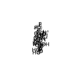 CC1=NO[C@@]2(CC[C@H](C)N3C[C@H]2n2cc(C(=O)NCc4ccc(F)cc4F)c(=O)c(OC(=O)N4CCN(C)C[C@@H]4CN(CC(=O)O)C(=O)OCOP(=O)(O)O)c2C3=O)C1